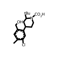 Cc1cc(CO)c(C2CCN(C(=O)O)C(C(C)(C)C)C2)cc1Cl